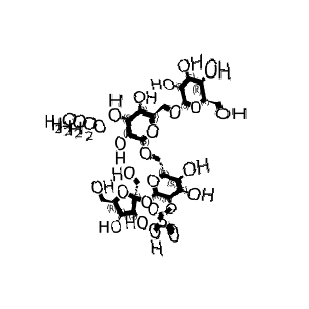 O.O.O.O.O=S(=O)(O)O[C@H]1[C@@H](O[C@]2(CO)O[C@H](CO)[C@@H](O)[C@@H]2O)O[C@H](CO[C@H]2O[C@H](CO[C@H]3O[C@H](CO)[C@H](O)[C@H](O)[C@H]3O)[C@H](O)[C@H](O)[C@H]2O)[C@@H](O)[C@@H]1O